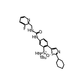 CC(C)(C)N[S+]([O-])c1cc(NC(=O)NCc2ncccc2F)ccc1-c1cnc(C2CCCCC2)s1